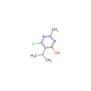 Cc1nc(O)c(C(C)C)c(Cl)n1